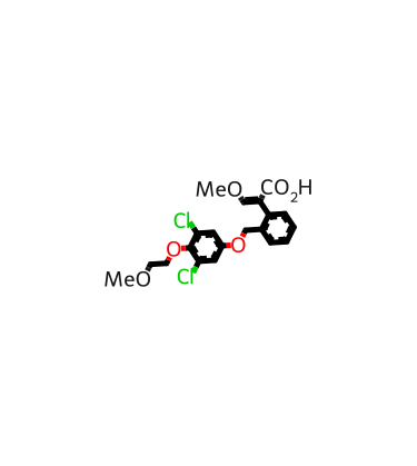 COC=C(C(=O)O)c1ccccc1COc1cc(Cl)c(OCCOC)c(Cl)c1